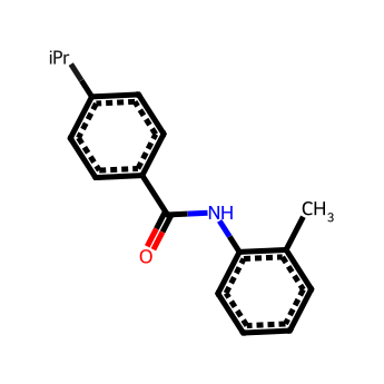 Cc1ccccc1NC(=O)c1ccc(C(C)C)cc1